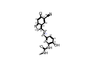 CNC(=O)Nc1nc(/N=N/c2snc3cc(Cl)c(C#N)cc23)ccc1O